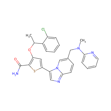 CC(Oc1cc(-c2cnc3ccc(CN(C)c4ccccn4)cn23)sc1C(N)=O)c1ccccc1Cl